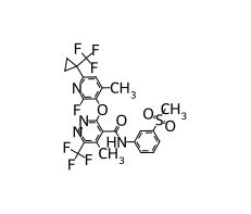 Cc1cc(C2(C(F)(F)F)CC2)nc(F)c1Oc1nnc(C(F)(F)F)c(C)c1C(=O)Nc1cccc(S(C)(=O)=O)c1